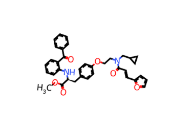 COC(=O)[C@H](Cc1ccc(OCCN(CC2CC2)C(=O)/C=C/c2ccco2)cc1)Nc1ccccc1C(=O)c1ccccc1